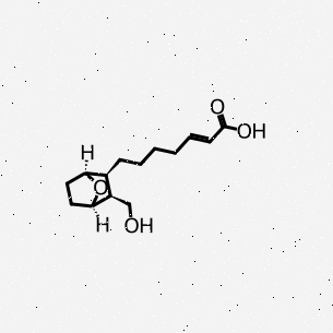 O=C(O)/C=C/CCCC[C@H]1[C@@H](CO)[C@H]2CC[C@@H]1O2